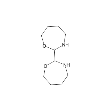 C1CCO[C](C2NCCCCO2)NC1